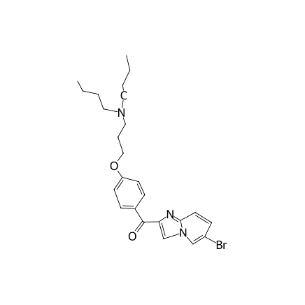 CCCCN(CCCC)CCCOc1ccc(C(=O)c2cn3cc(Br)ccc3n2)cc1